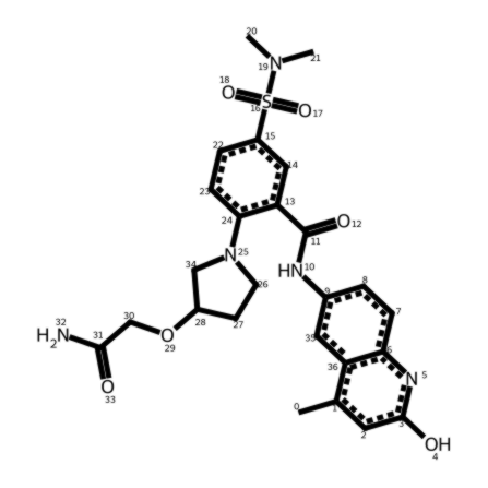 Cc1cc(O)nc2ccc(NC(=O)c3cc(S(=O)(=O)N(C)C)ccc3N3CCC(OCC(N)=O)C3)cc12